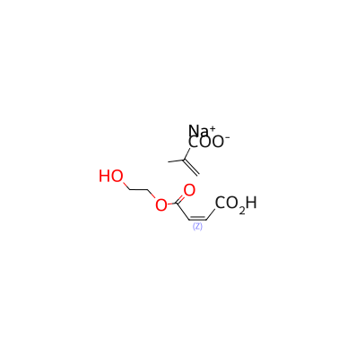 C=C(C)C(=O)[O-].O=C(O)/C=C\C(=O)OCCO.[Na+]